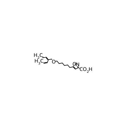 C=C/C=C(\C=C/C)COCCCCCCc1cc(C(=O)O)no1